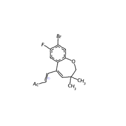 CC(=O)/C=C/C1=CC(C)(C)COc2cc(Br)c(F)cc21